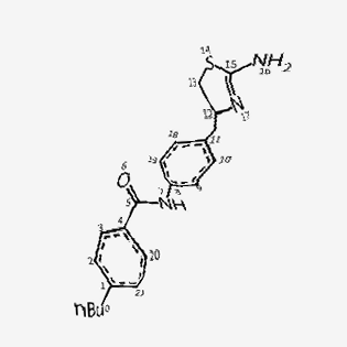 CCCCc1ccc(C(=O)Nc2ccc(C3CSC(N)=N3)cc2)cc1